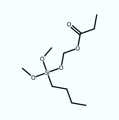 CCCC[Si](OC)(OC)OCOC(=O)CC